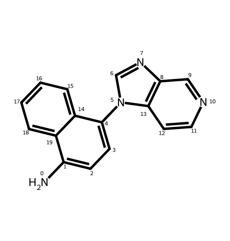 Nc1ccc(-n2cnc3cnccc32)c2ccccc12